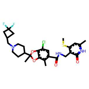 CSc1cc(C)[nH]c(=O)c1CNC(=O)c1cc(Cl)c2c(c1C)OC(C)(C1CCN(CC3CC(F)(F)C3)CC1)O2